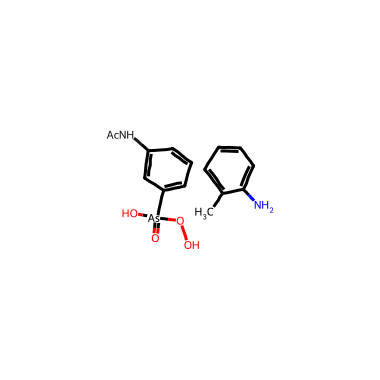 CC(=O)Nc1cccc([As](=O)(O)OO)c1.Cc1ccccc1N